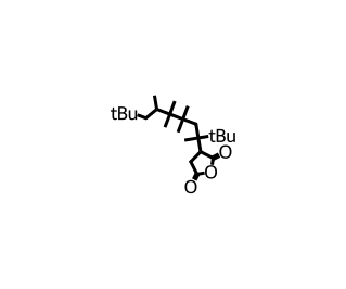 CC(CC(C)(C)C)C(C)(C)C(C)(C)CC(C)(C1CC(=O)OC1=O)C(C)(C)C